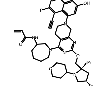 C#Cc1c(F)ccc2cc(O)cc(N3CCc4c(nc(OC[C@]5(C(C)C)C[C@@H](F)CN5C5CCOCC5)nc4N4CCCCC(NC(=O)C=C)C4)C3)c12